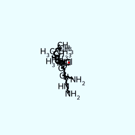 CC[C@H](CC[C@@H](C)[C@H]1CC[C@H]2[C@@H]3CC=C4C[C@@H](OC(=O)CCCC(=O)N(CCCN)CCCCNCCCN)CC[C@]4(C)[C@H]3CC[C@]12C)C(C)C.Cl.Cl.Cl